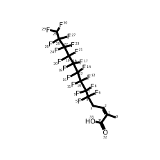 CC(=CCC(F)(F)C(F)(F)C(F)(F)C(F)(F)C(F)(F)C(F)(F)C(F)(F)C(F)(F)C(F)F)C(=O)O